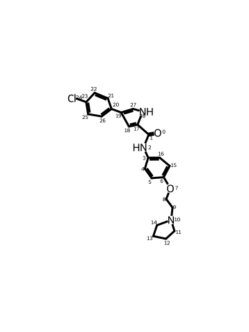 O=C(Nc1ccc(OCCN2CCCC2)cc1)c1cc(-c2ccc(Cl)cc2)c[nH]1